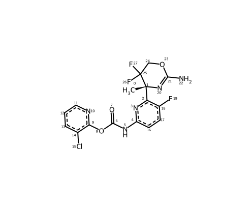 C[C@]1(c2nc(NC(=O)Oc3ncccc3Cl)ccc2F)N=C(N)OCC1(F)F